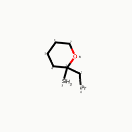 CC(C)CC1([SiH3])CCCCO1